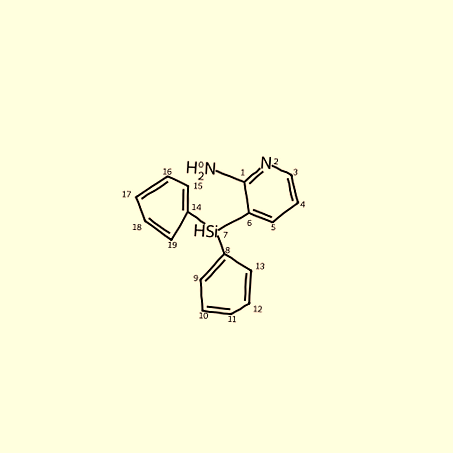 Nc1ncccc1[SiH](c1ccccc1)c1ccccc1